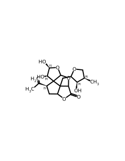 C=C(C)[C@@H]1CC2OC(=O)C3OC4O[C@H](O)[C@H](O)C41C23CC1OC[C@@H](C)[C@H]1O